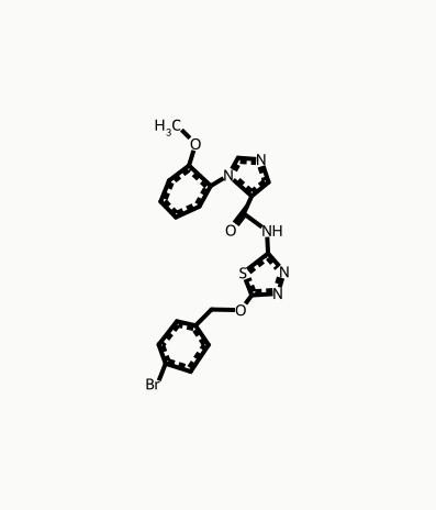 COc1ccccc1-n1cncc1C(=O)Nc1nnc(OCc2ccc(Br)cc2)s1